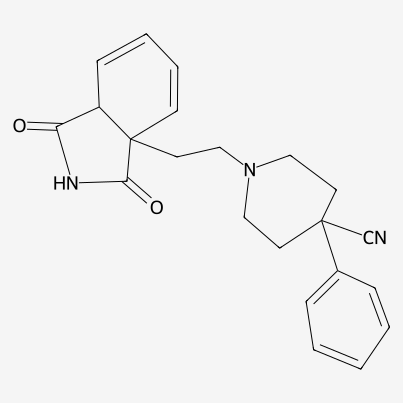 N#CC1(c2ccccc2)CCN(CCC23C=CC=CC2C(=O)NC3=O)CC1